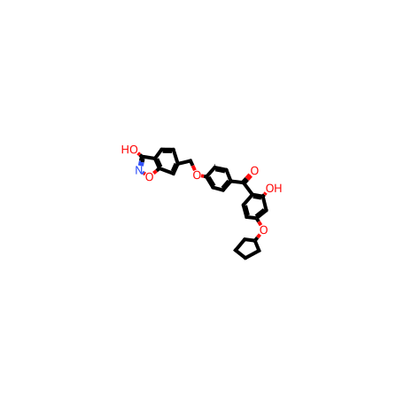 O=C(c1c[c]c(OCc2ccc3c(O)noc3c2)cc1)c1ccc(OC2CCCC2)cc1O